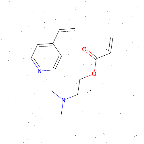 C=CC(=O)OCCN(C)C.C=Cc1ccncc1